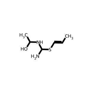 C/C=C/SC(N)NC(C)O